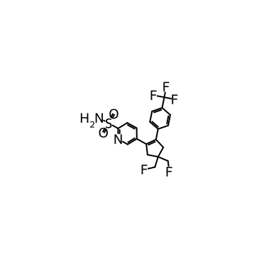 NS(=O)(=O)c1ccc(C2=C(c3ccc(C(F)(F)F)cc3)CC(CF)(CF)C2)cn1